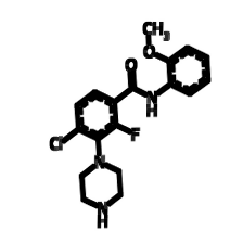 COc1ccccc1NC(=O)c1ccc(Cl)c(N2CCNCC2)c1F